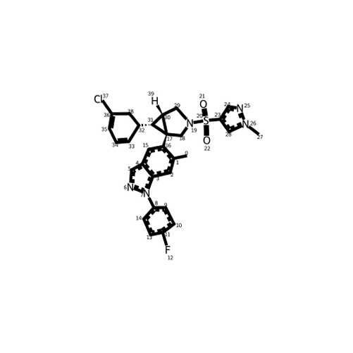 Cc1cc2c(cnn2-c2ccc(F)cc2)cc1[C@]12CN(S(=O)(=O)c3cnn(C)c3)C[C@H]1[C@H]2C1C=CC=C(Cl)C1